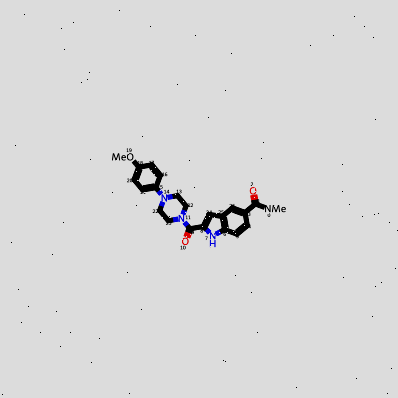 CNC(=O)c1ccc2[nH]c(C(=O)N3CCN(c4ccc(OC)cc4)CC3)cc2c1